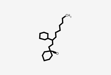 CCCCCCCC(CCC1(C=O)CCCCC1)C1CCCCC1